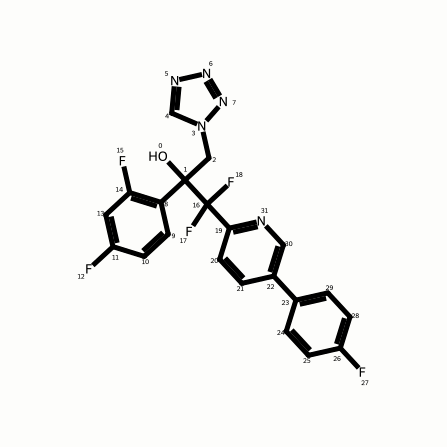 OC(Cn1cnnn1)(c1ccc(F)cc1F)C(F)(F)c1ccc(-c2ccc(F)cc2)cn1